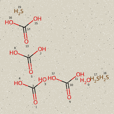 O.O=C(O)O.O=C(O)O.O=C(O)O.O=C(O)O.S.S.S